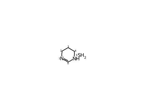 C1=NCCCN1.S